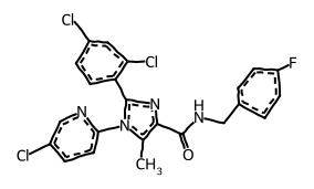 Cc1c(C(=O)NCc2ccc(F)cc2)nc(-c2ccc(Cl)cc2Cl)n1-c1ccc(Cl)cn1